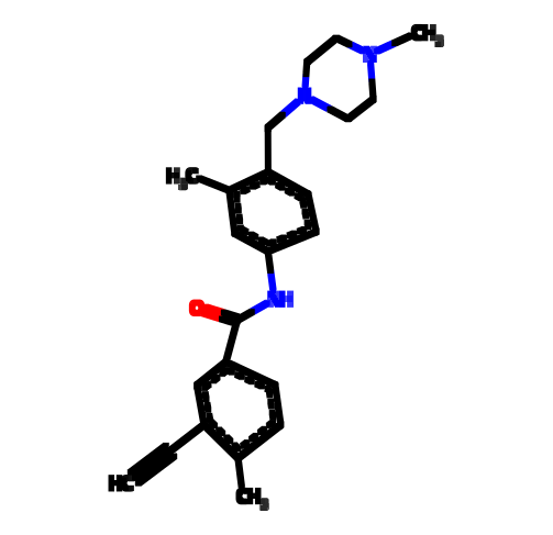 C#Cc1cc(C(=O)Nc2ccc(CN3CCN(C)CC3)c(C)c2)ccc1C